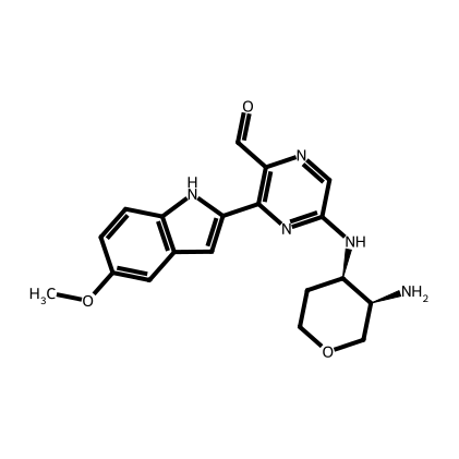 COc1ccc2[nH]c(-c3nc(N[C@@H]4CCOC[C@@H]4N)cnc3C=O)cc2c1